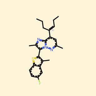 CC/C=C(\CCC)c1cc(C)nn2c(-c3sc4ccc(F)cc4c3C)c(C)nc12